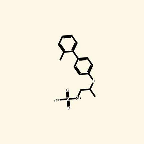 CCCS(=O)(=O)NCC(C)Oc1ccc(-c2ccccc2C)cc1